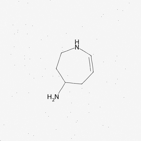 NC1CC=CNCC1